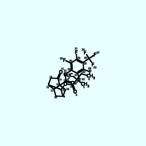 CCC(C)(C)C(=O)OC1C2CC3C1CC(=O)C3(C(=O)Oc1c(F)c(F)c(C(F)(F)F)c(F)c1F)C2